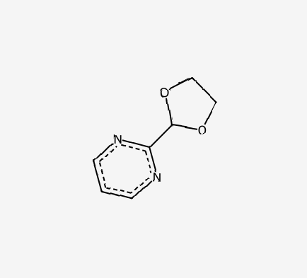 c1cnc(C2OCCO2)nc1